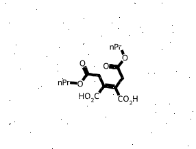 CCCOC(=O)CC(C(=O)O)=C(CC(=O)OCCC)C(=O)O